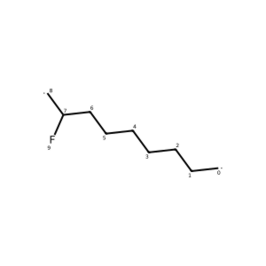 [CH2]CCCCCCC([CH2])F